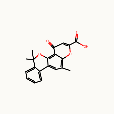 Cc1cc2c(c3c(=O)cc(C(=O)O)oc13)OC(C)(C)c1ccccc1-2